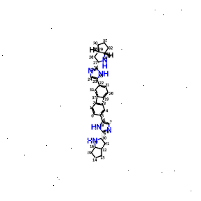 c1cc2c(cc1-c1cnc([C@@H]3CC4CCCC4N3)[nH]1)-c1ccc(-c3cnc([C@@H]4C[C@@H]5CCC[C@@H]5N4)[nH]3)cc1-2